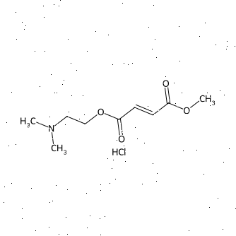 COC(=O)C=CC(=O)OCCN(C)C.Cl